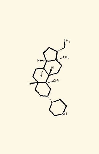 CC[C@H]1CC[C@H]2[C@@H]3CC[C@H]4CC[C@@H](N5CCNCC5)C[C@]4(C)[C@H]3CC[C@]12C